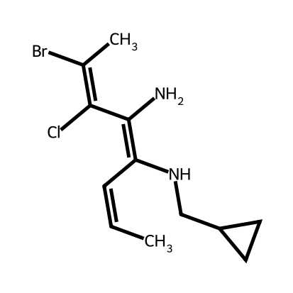 C\C=C/C(NCC1CC1)=C(N)\C(Cl)=C(/C)Br